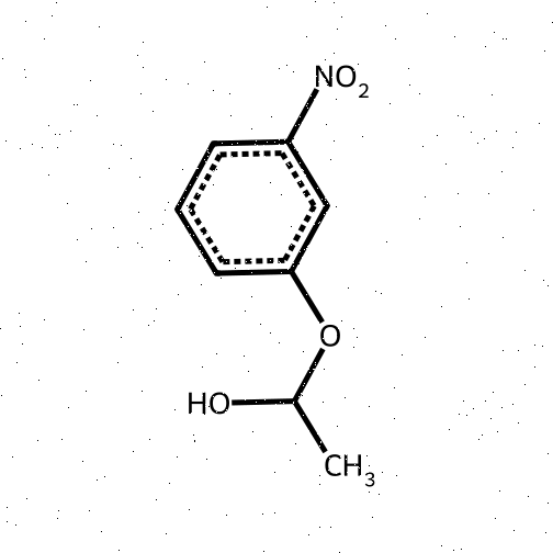 CC(O)Oc1cccc([N+](=O)[O-])c1